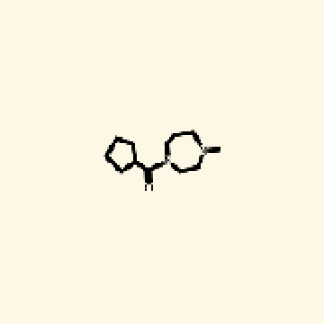 CN1CCCN(C(=O)C2C[CH]CC2)CC1